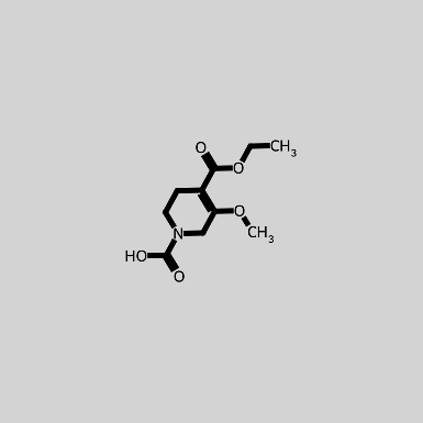 CCOC(=O)C1=C(OC)CN(C(=O)O)CC1